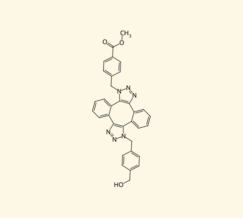 COC(=O)c1ccc(Cn2nnc3c2-c2ccccc2-c2nnn(Cc4ccc(CO)cc4)c2-c2ccccc2-3)cc1